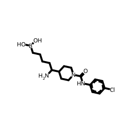 NC(CCCCB(O)O)C1CCN(C(=O)Nc2ccc(Cl)cc2)CC1